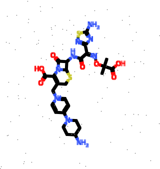 CC(C)(O/N=C(\C(=O)NC1C(=O)N2C(C(=O)O)=C(C[n+]3ccc(N4CCC(N)CC4)cc3)CSC12)c1nsc(N)n1)C(=O)O